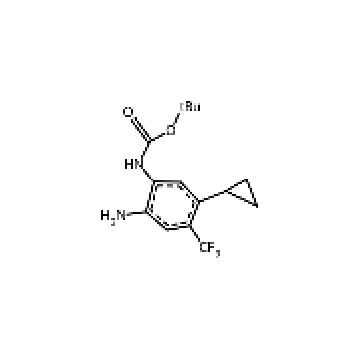 CC(C)(C)OC(=O)Nc1cc(C2CC2)c(C(F)(F)F)cc1N